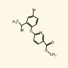 COC(=O)c1ccc(Oc2ccc(Br)cc2C(C)Br)nc1